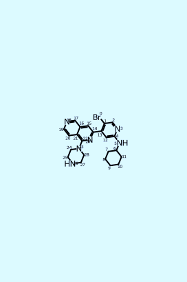 Brc1cnc(NC2CCCCC2)cc1-c1cc2cnccc2c(N2CCNCC2)n1